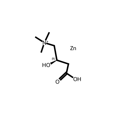 C[N+](C)(C)C[C@H](O)CC(=O)O.[Zn]